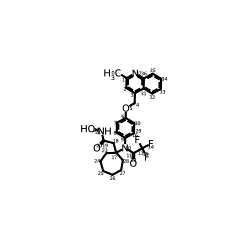 Cc1cc(COc2ccc(N(C(=O)C(F)(F)F)C3(CC(=O)NO)CCCCCC3)cc2)c2ccccc2n1